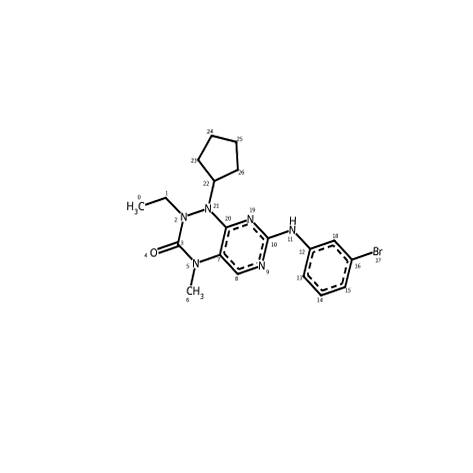 CCN1C(=O)N(C)c2cnc(Nc3cccc(Br)c3)nc2N1C1CCCC1